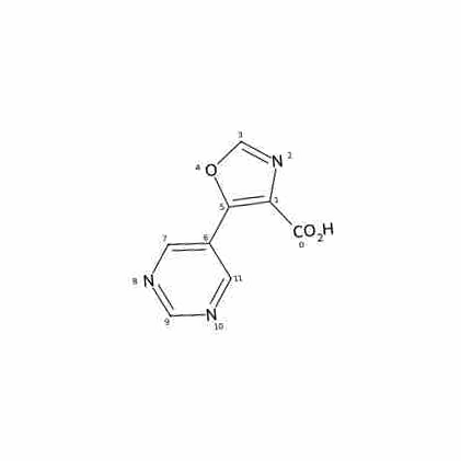 O=C(O)c1ncoc1-c1cncnc1